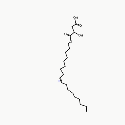 CCCCCCCC/C=C\CCCCCCCCOC(=O)C(O)CC(=O)O